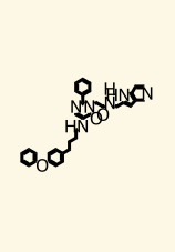 O=C(Cn1c(-c2ccccc2)ncc(NCCCCc2ccc(Oc3ccccc3)cc2)c1=O)NCc1cc2cnccc2[nH]1